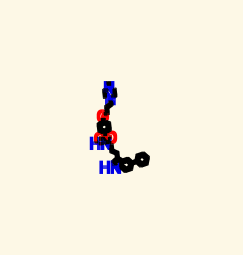 CN1CCN(CCCOc2ccc(S(=O)(=O)NCCCc3c[nH]c4ccc(-c5ccccc5)cc34)cc2)CC1